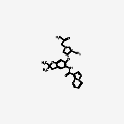 CC1(C)Cc2cc(NC(=O)c3cnn4cccnc34)c(O[C@@H]3CN(CC(N)=O)C[C@H]3N)cc2O1